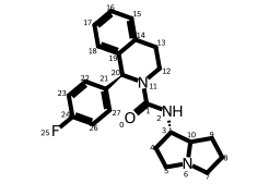 O=C(N[C@H]1CCN2CCCC12)N1CCc2ccccc2[C@@H]1c1ccc(F)cc1